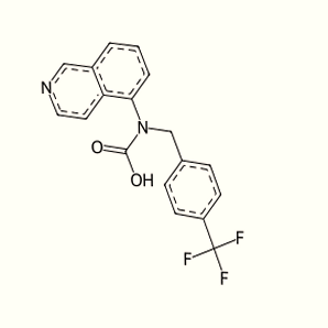 O=C(O)N(Cc1ccc(C(F)(F)F)cc1)c1cccc2cnccc12